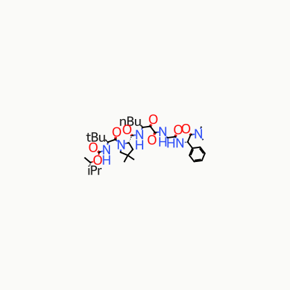 CCCCC(NC(=O)[C@@H]1CC(C)(C)CN1C(=O)[C@@H](NC(=O)O[C@@H](C)C(C)C)C(C)(C)C)C(=O)C(=O)NCC(=O)N[C@H](C(=O)N(C)C)c1ccccc1